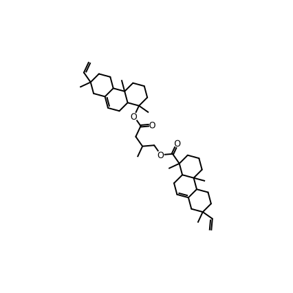 C=CC1(C)CCC2C(=CCC3C(C)(OC(=O)CC(C)COC(=O)C4(C)CCCC5(C)C6CCC(C)(C=C)CC6=CCC45)CCCC23C)C1